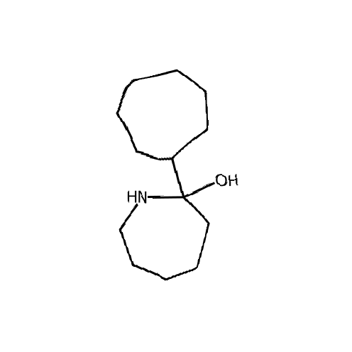 OC1(C2CCCCCC2)CCCCCN1